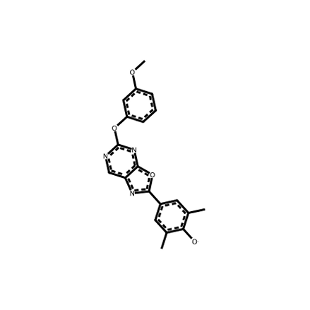 COc1cccc(Oc2ncc3nc(-c4cc(C)c([O])c(C)c4)oc3n2)c1